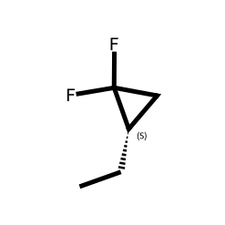 CC[C@H]1CC1(F)F